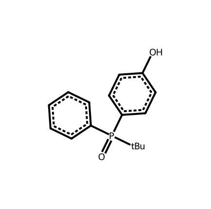 CC(C)(C)P(=O)(c1ccccc1)c1ccc(O)cc1